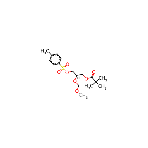 COCO[C@H](COC(=O)C(C)(C)C)COS(=O)(=O)c1ccc(C)cc1